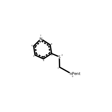 CCCCCCSc1cc[c]nc1